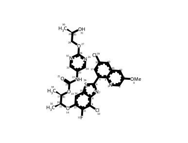 COc1cnc2c(-c3nc4c(Cl)c(F)c(O[C@@H](C)[C@@H](C)OC(=O)Nc5cnc(OC[C@@H](C)O)nc5)cc4s3)cc(Cl)cc2c1